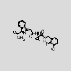 NC(=O)c1nn(CC(=O)NC2(C(=O)NCc3cccc(Cl)c3F)CC2)c2ccccc12